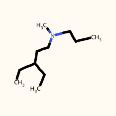 CCCN(C)CCC(CC)CC